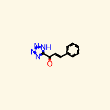 O=C(/C=C/c1ccccc1)c1nnn[nH]1